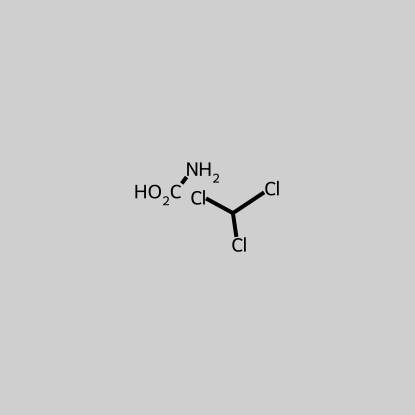 ClC(Cl)Cl.NC(=O)O